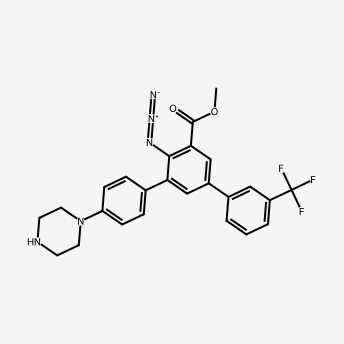 COC(=O)c1cc(-c2cccc(C(F)(F)F)c2)cc(-c2ccc(N3CCNCC3)cc2)c1N=[N+]=[N-]